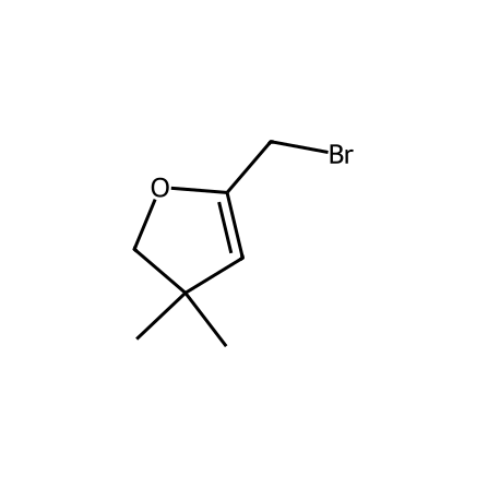 CC1(C)C=C(CBr)OC1